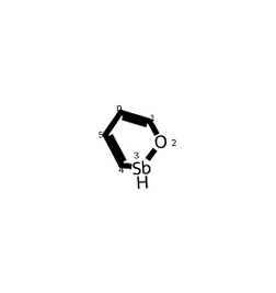 C1=C[O][SbH][CH]=C1